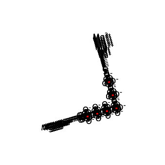 O=[Si]=O.O=[Si]=O.O=[Si]=O.[F-].[F-].[F-].[F-].[F-].[F-].[F-].[F-].[F-].[F-].[F-].[F-].[F-].[F-].[F-].[F-].[F-].[F-].[Mg+2].[Mg+2].[Mg+2].[Mg+2].[Mg+2].[Mg+2].[Mg+2].[Mg+2].[Mg+2].[Mg+2].[Mg+2].[Mg+2].[Mg+2].[Mg+2].[Mg+2].[Mg+2].[Na+].[Na+].[Na+].[Na+].[Na+].[Na+].[Na+].[Na+].[Na+].[Na+].[O-][Si]12O[Si]3([O-])O[Si]([O-])(O1)O[Si]([O-])(O2)O3.[O-][Si]12O[Si]3([O-])O[Si]([O-])(O1)O[Si]([O-])(O2)O3.[O-][Si]12O[Si]3([O-])O[Si]([O-])(O1)O[Si]([O-])(O2)O3.[O-][Si]12O[Si]3([O-])O[Si]([O-])(O1)O[Si]([O-])(O2)O3.[O-][Si]12O[Si]3([O-])O[Si]([O-])(O1)O[Si]([O-])(O2)O3.[O-][Si]12O[Si]3([O-])O[Si]([O-])(O1)O[Si]([O-])(O2)O3